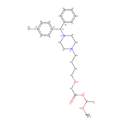 CC(OC(=O)COCCCCN1CCN(C(c2ccccc2)c2ccc(Cl)cc2)CC1)O[N+](=O)[O-]